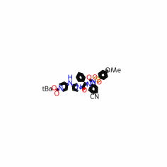 COc1ccc(S(=O)(=O)n2c(=O)n([C@H](C(=O)N3CCC(NC4CCN(C(=O)OC(C)(C)C)CC4)C3)c3ccccc3)c3cc(C#N)ccc32)cc1